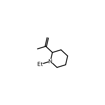 C=C(C)C1CCCCN1CC